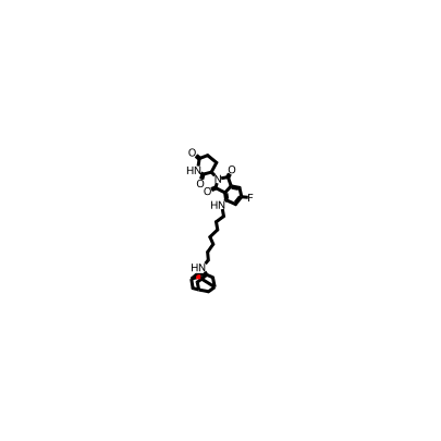 O=C1CCC(N2C(=O)c3cc(F)cc(NCCCCCCCNC45CC6CC(CC(C6)C4)C5)c3C2=O)C(=O)N1